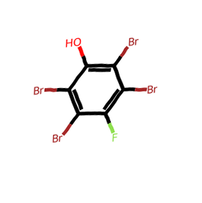 Oc1c(Br)c(Br)c(F)c(Br)c1Br